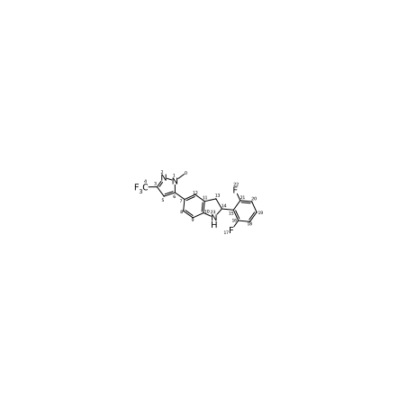 Cn1nc(C(F)(F)F)cc1-c1ccc2c(c1)CC(c1c(F)cccc1F)N2